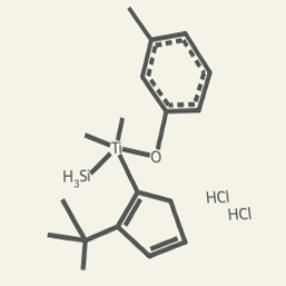 Cc1cccc([O][Ti]([CH3])([CH3])([SiH3])[C]2=C(C(C)(C)C)C=CC2)c1.Cl.Cl